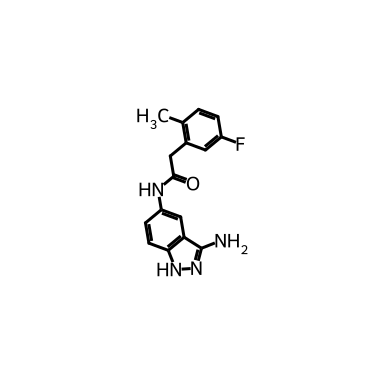 Cc1ccc(F)cc1CC(=O)Nc1ccc2[nH]nc(N)c2c1